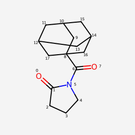 O=C1CCCN1C(=O)C12CC3CC(CC(C3)C1)C2